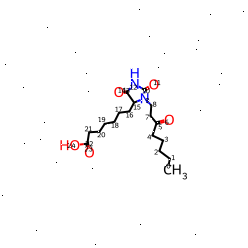 CCCCCC(=O)CCN1C(=O)NC(=O)C1CCCCCCC(=O)O